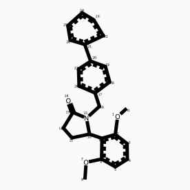 COc1cccc(OC)c1C1CCC(=O)N1Cc1ccc(-c2ccccc2)cc1